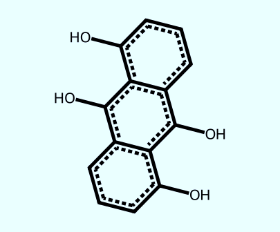 Oc1cccc2c(O)c3c(O)cccc3c(O)c12